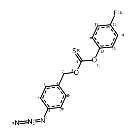 [N-]=[N+]=Nc1ccc(COC(=S)Oc2ccc(F)cc2)cc1